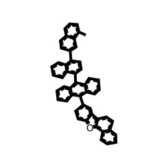 Cc1cccc2ccc(-c3ccc(-c4c5ccccc5c(-c5ccc6oc7c8ccccc8ccc7c6c5)c5ccccc45)c4ccccc34)cc12